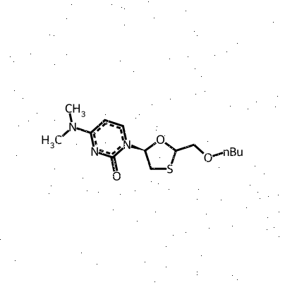 CCCCOCC1O[C@H](n2ccc(N(C)C)nc2=O)CS1